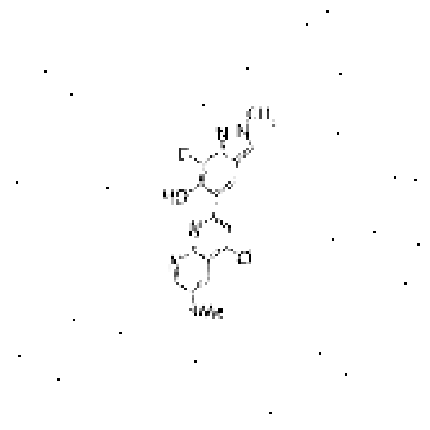 CNc1cnc2nc(-c3cc4cn(C)nc4c(F)c3O)cc(Cl)c2c1